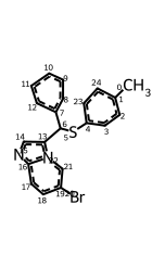 Cc1ccc(SC(c2ccccc2)c2cnc3ccc(Br)cn23)cc1